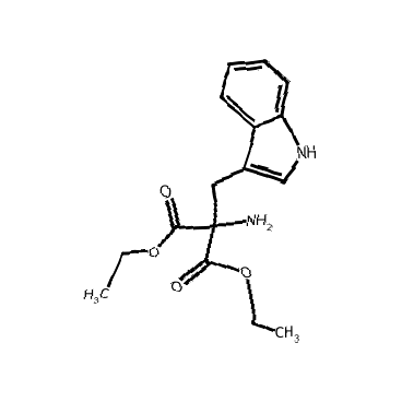 CCOC(=O)C(N)(Cc1c[nH]c2ccccc12)C(=O)OCC